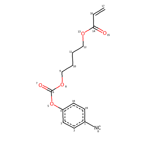 [C-]#[N+]c1ccc(OC(=O)OCCCCOC(=O)C=C)cc1